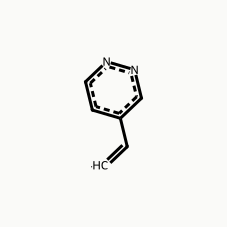 [CH]=Cc1ccnnc1